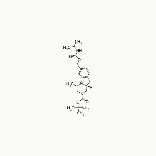 CC(C)NC(=O)OCc1ccc2c(n1)N1[C@H](C2)CN(C(=O)OC(C)(C)C)C[C@H]1C